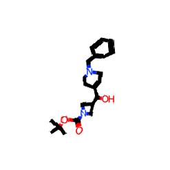 CC(C)(C)OC(=O)N1CC(C(O)C2=CCN(Cc3ccccc3)CC2)C1